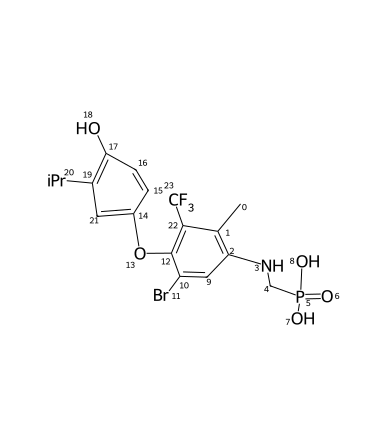 Cc1c(NCP(=O)(O)O)cc(Br)c(Oc2ccc(O)c(C(C)C)c2)c1C(F)(F)F